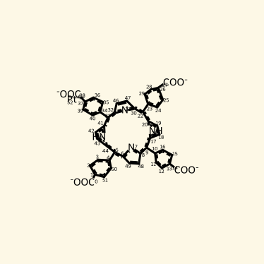 O=C([O-])c1ccc(-c2c3nc(c(-c4ccc(C(=O)[O-])cc4)c4ccc([nH]4)c(-c4ccc(C(=O)[O-])cc4)c4nc(c(-c5ccc(C(=O)[O-])cc5)c5ccc2[nH]5)C=C4)C=C3)cc1.[Pt+4]